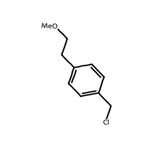 COCCc1ccc(CCl)cc1